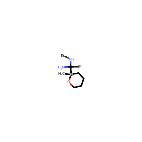 CCNC(N)(C(C)C)[Si]1(C)CCCCO1